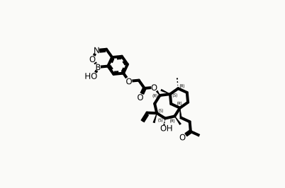 C=C[C@]1(C)C[C@@H](OC(=O)COc2ccc3c(c2)B(O)ON=C3)[C@@]2(C)C[C@](CCC(C)=O)(CC[C@H]2C)[C@@H](C)[C@@H]1O